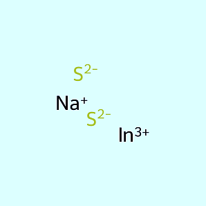 [In+3].[Na+].[S-2].[S-2]